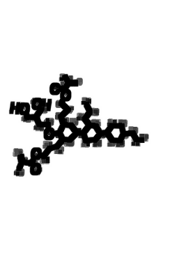 C=C(C)C(=O)OCCCC1CC(C2CCC(C3CCC(CCC)CC3)CC2CCC)CC(CCCOC(=O)C(=C)C)C1OCCC(CO)CO